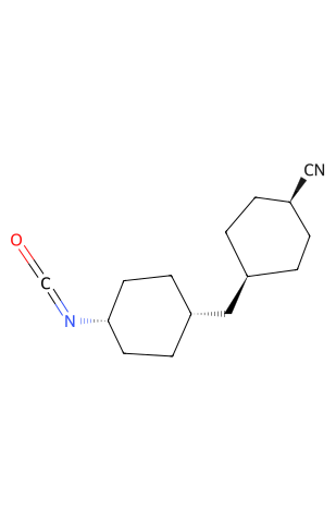 N#C[C@H]1CC[C@@H](C[C@H]2CC[C@@H](N=C=O)CC2)CC1